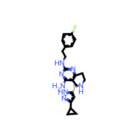 Nc1nc(NCCc2ccc(F)cc2)nc2c1[C@@H](c1cc(C3CC3)n[nH]1)NCC2